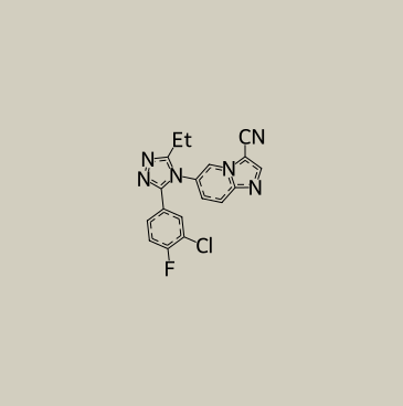 CCc1nnc(-c2ccc(F)c(Cl)c2)n1-c1ccc2ncc(C#N)n2c1